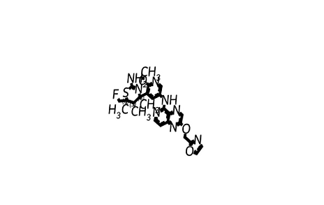 COc1ncc(Nc2nccc3nc(OCc4ncco4)cnc23)cc1[C@@]1(C)N=C(N)S[C@](C)(CF)[C@H]1C